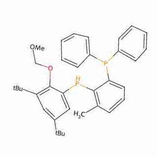 COCOc1c(Pc2c(C)cccc2P(c2ccccc2)c2ccccc2)cc(C(C)(C)C)cc1C(C)(C)C